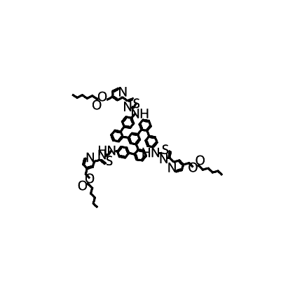 CCCCCC(=O)OCc1ccnc(-c2csc(Nc3ccc(-c4ccccc4-c4cc(-c5ccccc5-c5ccc(Nc6nc(-c7cc(COC(=O)CCCCC)ccn7)cs6)cc5)cc(-c5ccccc5-c5ccc(Nc6nc(-c7cc(COC(=O)CCCCC)ccn7)cs6)cc5)c4)cc3)n2)c1